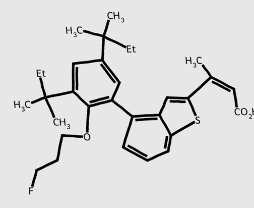 CCC(C)(C)c1cc(-c2cccc3sc(/C(C)=C\C(=O)O)cc23)c(OCCCF)c(C(C)(C)CC)c1